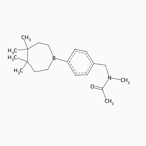 CC(=O)N(C)Cc1ccc(B2CCC(C)(C)C(C)(C)CC2)cc1